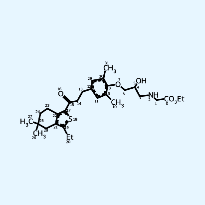 CCOC(=O)CNCC(O)COc1c(C)cc(CCC(=O)c2sc(CC)c3c2CCC(C)(C)C3)cc1C